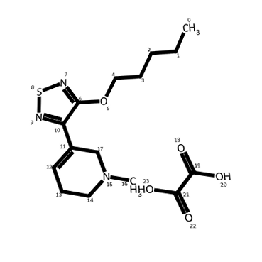 CCCCCOc1nsnc1C1=CCCN(C)C1.O=C(O)C(=O)O